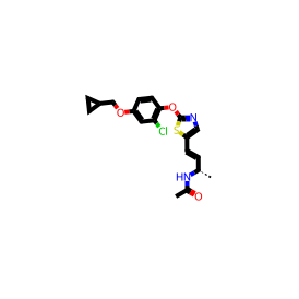 CC(=O)N[C@@H](C)/C=C/c1cnc(Oc2ccc(OCC3CC3)cc2Cl)s1